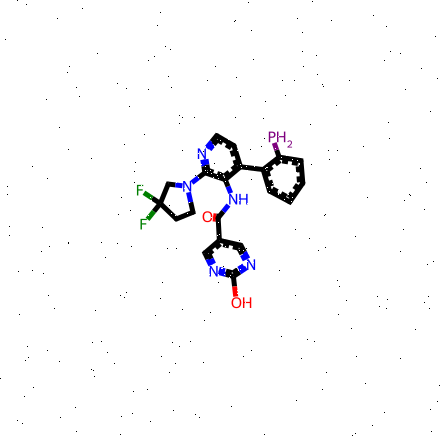 O=C(Nc1c(-c2ccccc2P)ccnc1N1CCC(F)(F)C1)c1cnc(O)nc1